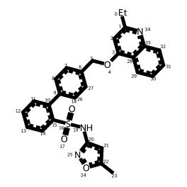 CCc1cc(OCc2ccc(-c3ccccc3S(=O)(=O)Nc3cc(C)on3)cc2)c2ccccc2n1